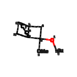 CCCCOC1(OC)CC2C3CCC21C3